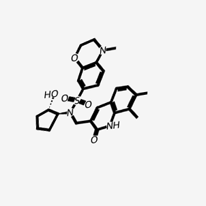 Cc1ccc2cc(CN([C@H]3CCC[C@@H]3O)S(=O)(=O)c3ccc4c(c3)OCCN4C)c(=O)[nH]c2c1C